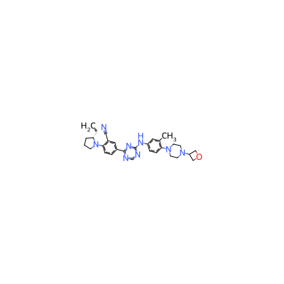 C=C[C@H]1CCCN1c1ccc(-c2ncnc(Nc3ccc(N4CCN(C5COC5)CC4)c(C)c3)n2)cc1C#N